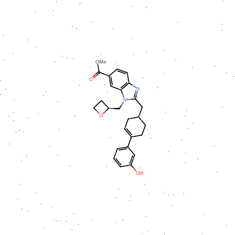 COC(=O)c1ccc2nc(CC3CC=C(c4cccc(O)c4)CC3)n(C[C@@H]3CCO3)c2c1